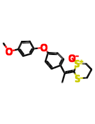 COc1ccc(Oc2ccc(C(C)=C3SCCC[S+]3[O-])cc2)cc1